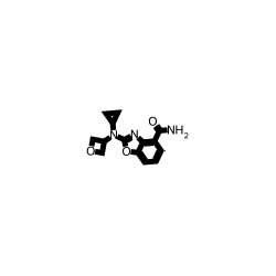 NC(=O)c1[c]ccc2oc(N(C3CC3)C3COC3)nc12